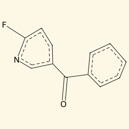 O=C(c1ccccc1)c1ccc(F)nc1